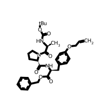 C=CCOc1ccc(C[C@H](NC(=O)[C@@H]2CCCN2C(=O)[C@H](C)NC(=O)OC(C)(C)C)C(=O)OCc2ccccc2)cc1